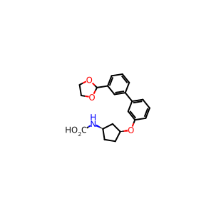 O=C(O)N[C@@H]1CC[C@H](Oc2cccc(-c3cccc(C4OCCO4)c3)c2)C1